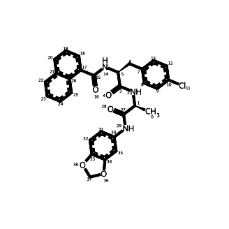 C[C@H](NC(=O)[C@H](Cc1ccc(Cl)cc1)NC(=O)c1cccc2ccccc12)C(=O)Nc1ccc2c(c1)OCO2